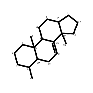 CC1CCCC2(C)C3CCC4CCCC4(C)C3=CCC12